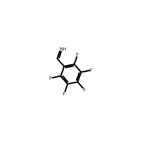 N=Cc1c(F)c(F)c(F)c(F)c1F